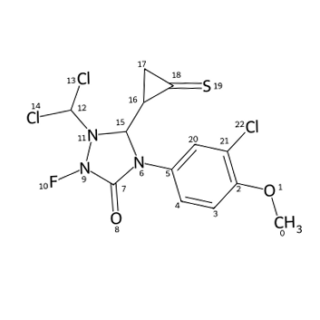 COc1ccc(N2C(=O)N(F)N(C(Cl)Cl)C2C2CC2=S)cc1Cl